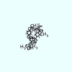 Cc1cc(-c2cnc3c(NCC(C)(C)O)cc(Oc4ccc(OC(C)C)cc4)nn23)ccc1C(=O)NC1CC1